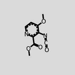 COC(=O)c1nccc(OC)c1N=C=O